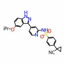 CC(C)Oc1ccc2[nH]nc(-c3ccnc(NS(=O)(=O)c4ccc(C5(C#N)CC5)cc4)c3)c2c1